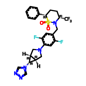 O=S1(=O)[C@H](c2ccccc2)CC[C@H](C(F)(F)F)N1Cc1cc(F)c(N2C[C@@H]3[C@H](C2)[C@H]3n2cnnc2)cc1F